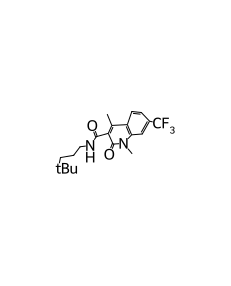 Cc1c(C(=O)NCCCC(C)(C)C)c(=O)n(C)c2cc(C(F)(F)F)ccc12